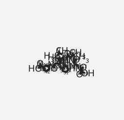 CC(C)C[C@H](NC(=O)[C@@H](NC(=O)[C@@H](N)CNC(=O)C(=O)O)C(C)C)C(=O)N[C@@H](CC1CCCCC1)[C@@H](O)C(=O)Nc1cccc(C(=O)O)c1